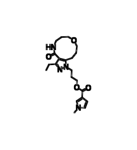 CCc1nn(CCCOC(=O)c2ccn(C)c2)c2c1C(=O)NCCCOCCC2